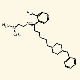 CN(C)CC/N=C(\CCCCCN1CCC(Cc2ccccc2)CC1)c1ccccc1O